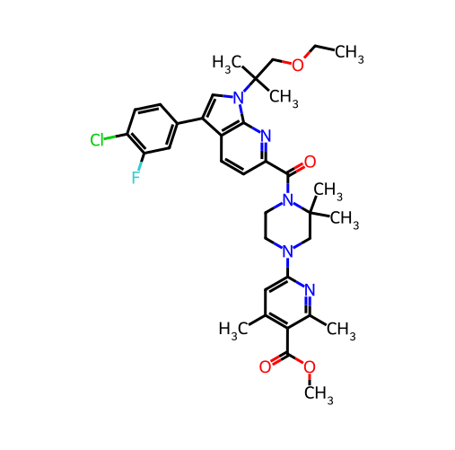 CCOCC(C)(C)n1cc(-c2ccc(Cl)c(F)c2)c2ccc(C(=O)N3CCN(c4cc(C)c(C(=O)OC)c(C)n4)CC3(C)C)nc21